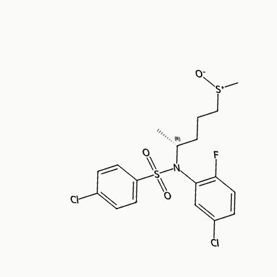 C[C@H](CCC[S+](C)[O-])N(c1cc(Cl)ccc1F)S(=O)(=O)c1ccc(Cl)cc1